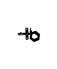 CCCS(=O)(=O)C1(I)C=CC=CC1